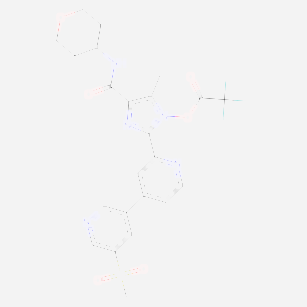 Cc1c(C(=O)NC2CCOCC2)nc(-c2cc(-c3cncc(S(C)(=O)=O)c3)ccn2)n1OC(=O)C(F)(F)F